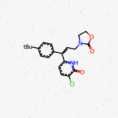 CC(C)(C)c1ccc(/C(=C/CN2CCOC2=O)c2ccc(Cl)c(=O)[nH]2)cc1